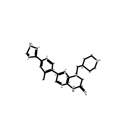 Cc1cc(-c2nc[nH]n2)ncc1-c1cnc2c(n1)N(CC1CCOCC1)CC(=O)N2